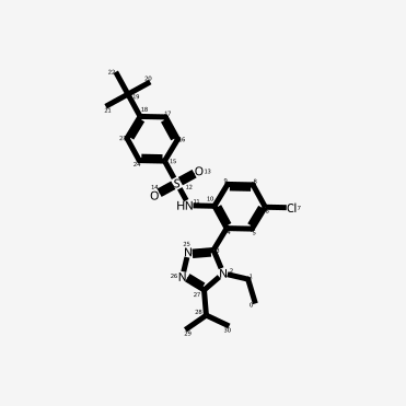 CCn1c(-c2cc(Cl)ccc2NS(=O)(=O)c2ccc(C(C)(C)C)cc2)nnc1C(C)C